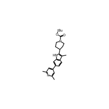 Cc1cc(-c2ccc3c(C)c(C4CCN(C(=O)OC(C)(C)C)CC4)[nH]c3c2)cc(C)n1